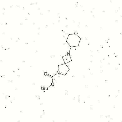 CC(C)(C)OC(=O)N1CCC2(C1)CN(C1CCOCC1)C2